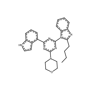 CCCCc1nc2ccccc2n1-c1nc(-c2cccc3[nH]ccc23)nc(N2CCOCC2)n1